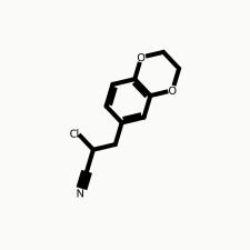 N#CC(Cl)Cc1ccc2c(c1)OCCO2